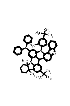 Cc1cc(C(C)(C)C)ccc1N1c2cc(N(c3ccccc3)c3ccccc3)cc3c2B(c2cc(C(C)(C)C)cc4c2N3C2(C)CCCCC42C)c2ccc3sc4ccccc4c3c21